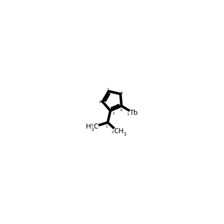 CC(C)C1=[C]([Tb])CC=C1